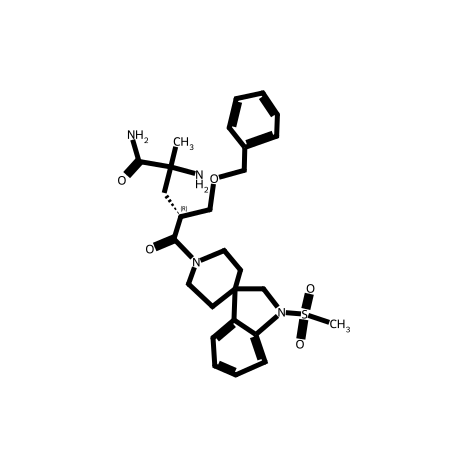 CC(N)(C[C@H](COCc1ccccc1)C(=O)N1CCC2(CC1)CN(S(C)(=O)=O)c1ccccc12)C(N)=O